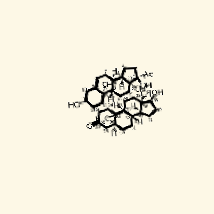 CC(=O)[C@@]1(O)CC[C@H]2[C@@H]3CC=C4C[C@@H](O)CC[C@]4(C)[C@H]3CC[C@@]21C.C[C@]12CCC(=O)C[C@@H]1CC[C@@H]1[C@@H]2CC[C@]2(C)[C@@H](O)CC[C@@H]12